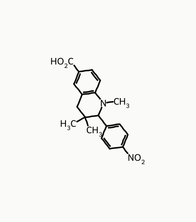 CN1c2ccc(C(=O)O)cc2CC(C)(C)C1c1ccc([N+](=O)[O-])cc1